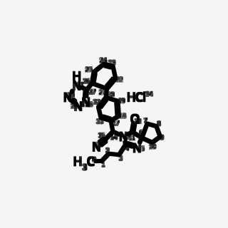 CCCCC1=NC2(CCCC2)C(=O)N1C(C#N)c1ccc(-c2ccccc2-c2nnn[nH]2)cc1.Cl